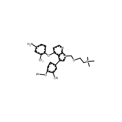 CC(C)Oc1ccc(-c2cn(COCC[Si](C)(C)C)c3nccc(Oc4ccc(N)cc4C(F)(F)F)c23)cc1C#N